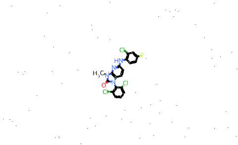 Cn1c(=O)n(-c2c(Cl)cccc2Cl)c2ccc(Nc3ccc(F)cc3Cl)nc21